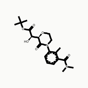 Cc1c(C(=O)N(C)C)cccc1N1CCO[C@H]([C@@H](O)C(=O)OC(C)(C)C)C1=O